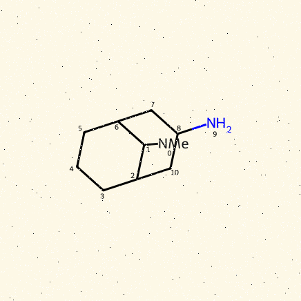 CNC1C2CCCC1CC(N)C2